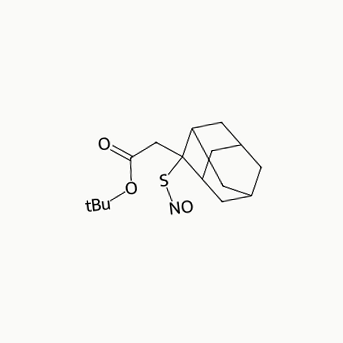 CC(C)(C)OC(=O)CC1(SN=O)C2CC3CC(C2)CC1C3